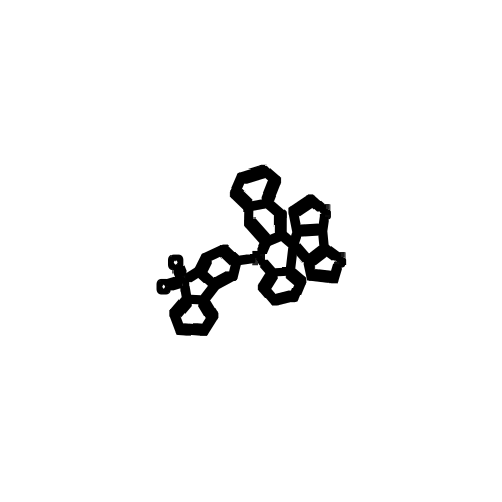 O=S1(=O)c2ccccc2-c2cc(N3c4ccccc4C4(c5cc6ccccc6cc53)c3ccsc3-c3sccc34)ccc21